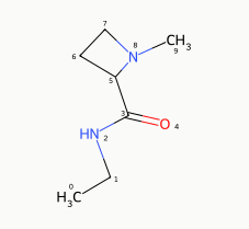 CCNC(=O)C1CCN1C